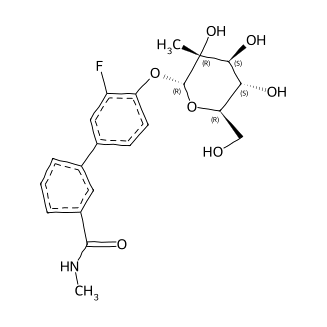 CNC(=O)c1cccc(-c2ccc(O[C@H]3O[C@H](CO)[C@@H](O)[C@H](O)[C@@]3(C)O)c(F)c2)c1